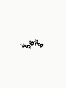 C[S+]([O-])c1cc2ncnc(Oc3ccc(NC(=S)NC(=O)Cc4ccccc4)cc3F)c2s1